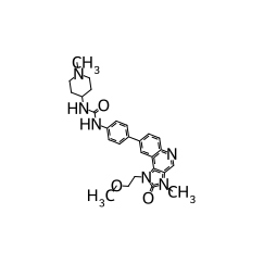 COCCn1c(=O)n(C)c2cnc3ccc(-c4ccc(NC(=O)NC5CCN(C)CC5)cc4)cc3c21